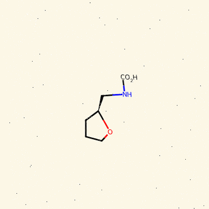 O=C(O)NC[C@@H]1CCCO1